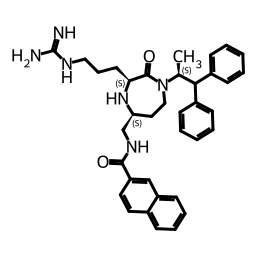 C[C@@H](C(c1ccccc1)c1ccccc1)N1CC[C@@H](CNC(=O)c2ccc3ccccc3c2)N[C@@H](CCCNC(=N)N)C1=O